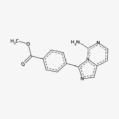 COC(=O)c1ccc(-c2ncc3ccnc(N)n23)cc1